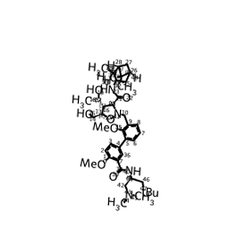 COc1ccc(-c2cccc(CN3O[C@@H](CO)[C@H]([C@H](C)O)[C@H]3C(=O)NC3C[C@H]4C[C@@H]([C@@H]3C)C4(C)C)c2OC)cc1C(=O)N[C@H](CN(C)C)CC(C)(C)C